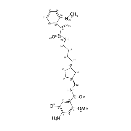 COc1cc(N)c(Cl)cc1C(=O)NC[C@H]1CCN(CCCCNC(=O)c2cn(C)c3ccccc23)C1